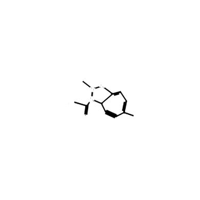 CC1=CC=C2NN(C)N(C(=O)C(F)(F)F)C2C#C1